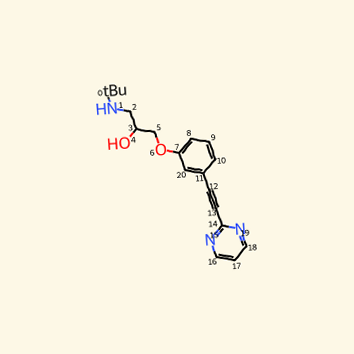 CC(C)(C)NCC(O)COc1cccc(C#Cc2ncccn2)c1